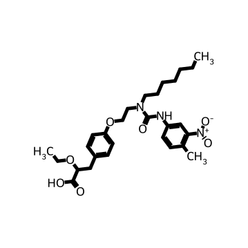 CCCCCCCN(CCOc1ccc(CC(OCC)C(=O)O)cc1)C(=O)Nc1ccc(C)c([N+](=O)[O-])c1